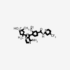 CCOc1cc(C(=O)Nc2cc(C(F)(F)F)ccn2)ccc1-c1nc(C2(C)CCC(C)(C(=O)O)C2)n2ccnc(N)c12